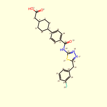 O=C(O)CC1CCC(c2ccc(C(=O)Nc3nnc(Cc4cccc(F)c4)s3)cc2)CC1